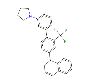 FC(F)(F)c1cc(C2CC=Cc3ccccc32)ccc1-c1cccc(N2CCCC2)c1